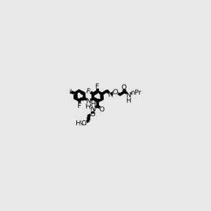 CCCNC(=O)CON=Cc1cc(C(=O)NOCCO)c(Nc2ccc(I)cc2F)c(F)c1F